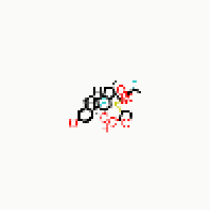 CC(F)C(=O)O[C@]1(C(=O)SC2CCOC2=O)[C@H](C)C[C@H]2[C@@H]3CCC4=CC(=O)C=C[C@]4(C)[C@@]3(F)[C@@H](O)C[C@@]21C